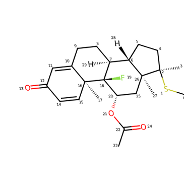 CS[C@]1(C)CC[C@H]2[C@@H]3CCC4=CC(=O)C=C[C@]4(C)[C@@]3(F)[C@@H](OC(C)=O)C[C@@]21C